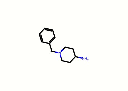 NC1CCN([CH]c2ccccc2)CC1